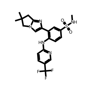 CNS(=O)(=O)c1ccc(Nc2ccc(C(F)(F)F)cn2)c(-c2cn3c(n2)CC(C)(C)C3)c1